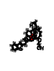 C=C1/C=C\C(OCCO)=C2/C[C@]34CCN(CC5CC5)[C@H](C1)[C@]31CC[C@@](OC)([C@@H](COCc3cc5ccccc5s3)C1)[C@@H]4O2